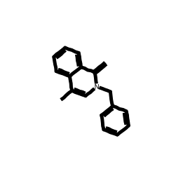 C=C1c2ccccc2C(C)=CN1Cc1ccccc1